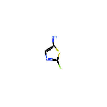 [NH]c1cnc(F)s1